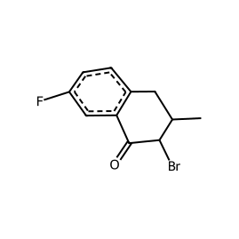 CC1Cc2ccc(F)cc2C(=O)C1Br